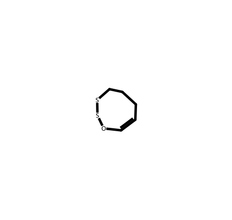 C1=C\OSSCCC/1